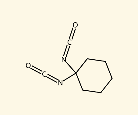 O=C=NC1(N=C=O)CCCCC1